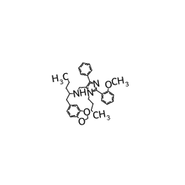 CCCCn1c(-c2ccccc2OC)nc(-c2ccccc2)c1CNC(CCC)Cc1ccc2c(c1)OCO2